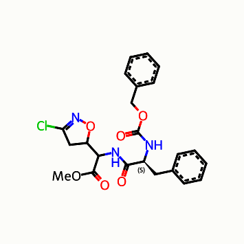 COC(=O)C(NC(=O)[C@H](Cc1ccccc1)NC(=O)OCc1ccccc1)C1CC(Cl)=NO1